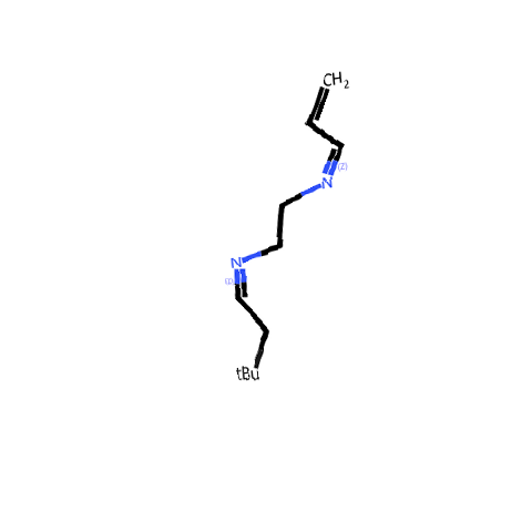 C=C/C=N\CC/N=C\CC(C)(C)C